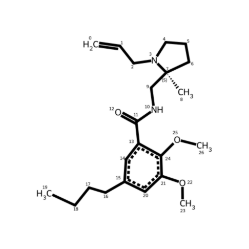 C=CCN1CCC[C@@]1(C)CNC(=O)c1cc(CCCC)cc(OC)c1OC